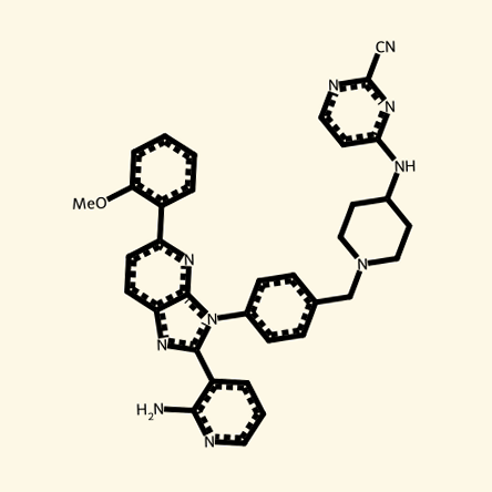 COc1ccccc1-c1ccc2nc(-c3cccnc3N)n(-c3ccc(CN4CCC(Nc5ccnc(C#N)n5)CC4)cc3)c2n1